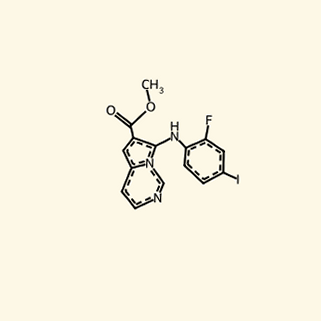 COC(=O)c1cc2ccncn2c1Nc1ccc(I)cc1F